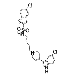 O=S(=O)(NCCCCN1CC=C(c2c[nH]c3ccc(Cl)cc23)CC1)c1cc2cc(Cl)ccc2s1